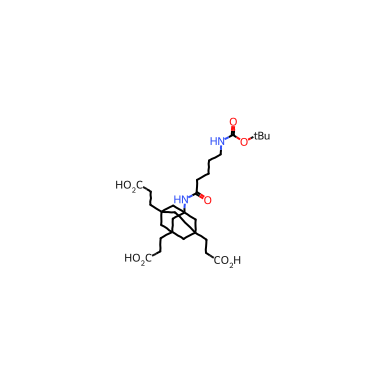 CC(C)(C)OC(=O)NCCCCC(=O)NC12CC3(CCC(=O)O)CC(CCC(=O)O)(CC(CCC(=O)O)(C3)C1)C2